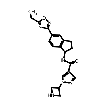 CCc1nc(-c2ccc3c(c2)CCC3NC(=O)c2cnn(C3CNC3)c2)no1